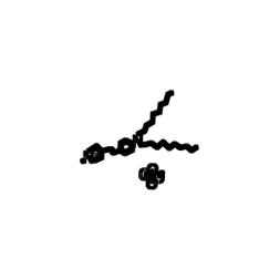 CCCCCCCCCCN(CCCCCCCCCC)c1ccc(C=Cc2cc[n+](C)cc2)cc1.COS(=O)(=O)[O-]